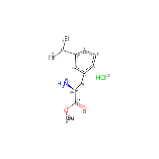 CCC(CC)c1cccc(C[C@H](N)C(=O)OC(C)(C)C)c1.Cl